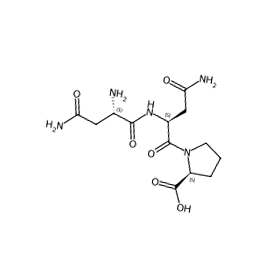 NC(=O)C[C@H](NC(=O)[C@@H](N)CC(N)=O)C(=O)N1CCC[C@H]1C(=O)O